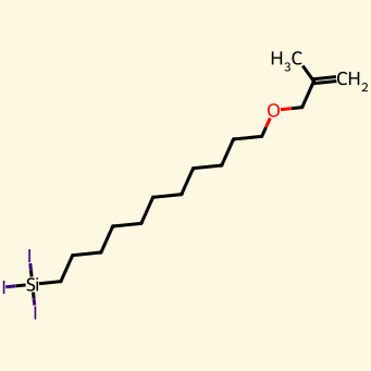 C=C(C)COCCCCCCCCCCC[Si](I)(I)I